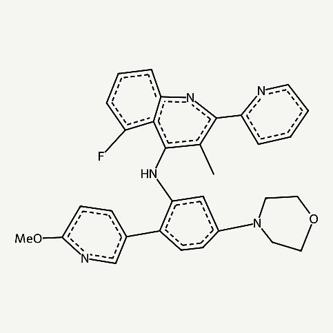 COc1ccc(-c2ccc(N3CCOCC3)cc2Nc2c(C)c(-c3ccccn3)nc3cccc(F)c23)cn1